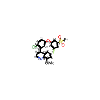 CCS(=O)(=O)c1cc(F)cc(Oc2ccc(Cl)c(-c3ccnc4c(OC)cccc34)c2)c1